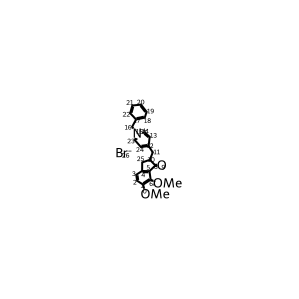 COc1ccc2c(c1OC)C(=O)C(Cc1cc[n+](Cc3ccccc3)cc1)C2.[Br-]